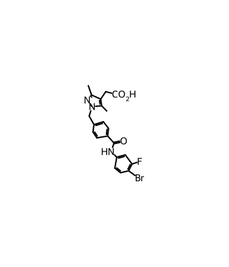 Cc1nn(Cc2ccc(C(=O)Nc3ccc(Br)c(F)c3)cc2)c(C)c1CC(=O)O